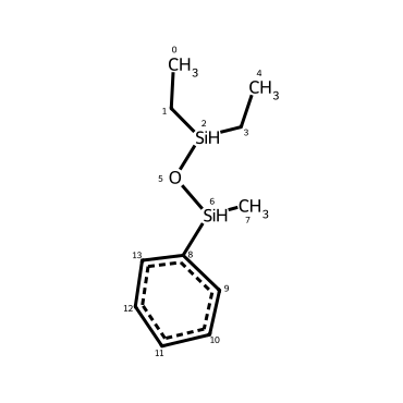 CC[SiH](CC)O[SiH](C)c1ccccc1